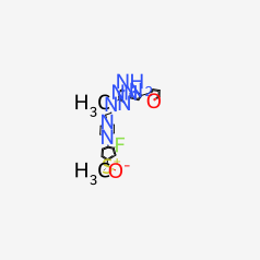 CN(CCN1CCN(c2ccc([S@@+](C)[O-])cc2F)CC1)c1nc(N)n2nc(-c3ccco3)cc2n1